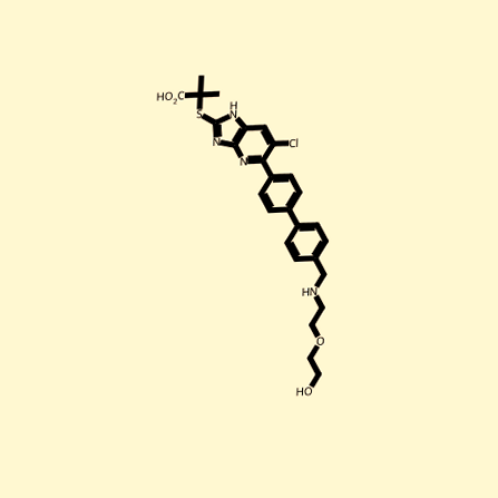 CC(C)(Sc1nc2nc(-c3ccc(-c4ccc(CNCCOCCO)cc4)cc3)c(Cl)cc2[nH]1)C(=O)O